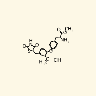 COC(=O)[C@@H](N)Cc1ccc(Oc2ccc(CC3SC(=O)NC3=O)cc2OC)cc1.Cl